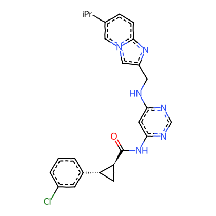 CC(C)c1ccc2nc(CNc3cc(NC(=O)[C@H]4C[C@@H]4c4cccc(Cl)c4)ncn3)cn2c1